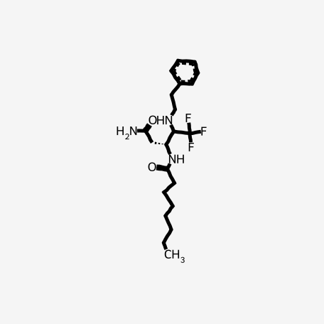 CCCCCCCC(=O)N[C@H](CC(N)=O)C(NCCc1ccccc1)C(F)(F)F